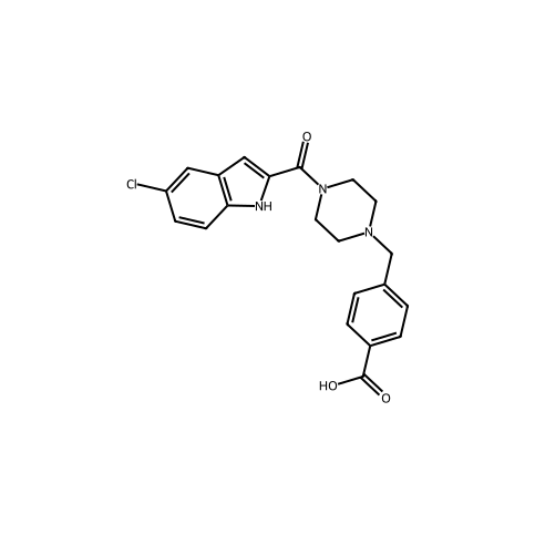 O=C(O)c1ccc(CN2CCN(C(=O)c3cc4cc(Cl)ccc4[nH]3)CC2)cc1